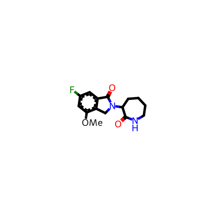 COc1cc(F)cc2c1CN(C1CCCCNC1=O)C2=O